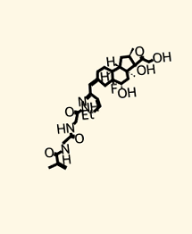 C=C(C)C(=O)NCC(=O)NCC(=O)N/N=C(\C=C/CC)/C=C1/CC[C@H]2[C@@H]3C[C@@H](C)[C@](O)(C(=O)CO)[C@@]3(C)C[C@H](O)[C@]2(F)C1